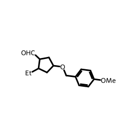 CCC1CC(OCc2ccc(OC)cc2)CC1C=O